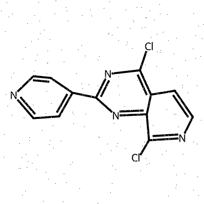 Clc1nc(-c2ccncc2)nc2c(Cl)nccc12